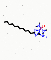 CCCCCCCCCCCc1nc(N)n(P(=O)(N(C)C)N(C)C)n1